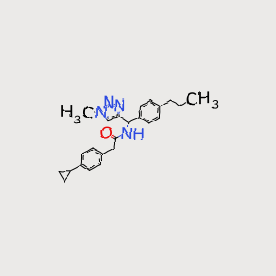 CCCc1ccc(C(NC(=O)Cc2ccc(C3CC3)cc2)c2cn(C)nn2)cc1